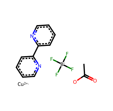 CC(=O)[O-].F[B-](F)(F)F.[Cu+2].c1ccc(-c2ccccn2)nc1